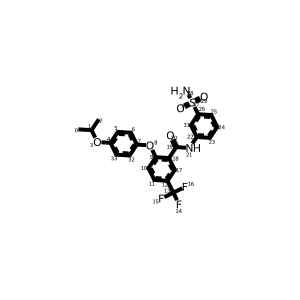 CC(C)Oc1ccc(Oc2ccc(C(F)(F)F)cc2C(=O)Nc2cccc(S(N)(=O)=O)c2)cc1